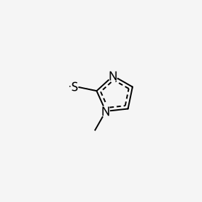 Cn1ccnc1[S]